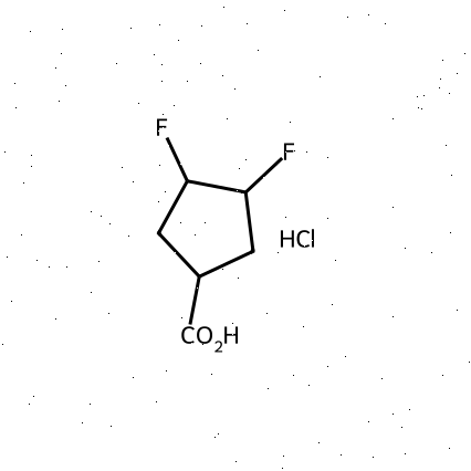 Cl.O=C(O)C1CC(F)C(F)C1